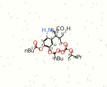 CCCCC(=O)Oc1ccc(C(C(C)COC(=O)OC(C)C(C)C)[C@H](N)C(=O)O)cc1OC(=O)CCCC